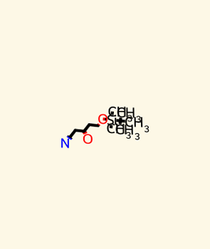 CC(C)(C)[Si](C)(C)OCCC(=O)CC#N